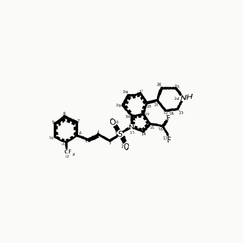 O=S(=O)(CC=Cc1ccccc1C(F)(F)F)n1cc(C(F)F)c2c(C3CCNCC3)cccc21